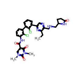 CCc1nc(-c2cccc(-c3cccc(NC(=O)c4cn(C)c(=O)n(C)c4=O)c3Cl)c2Cl)cnc1CNCC1CCC(=O)N1